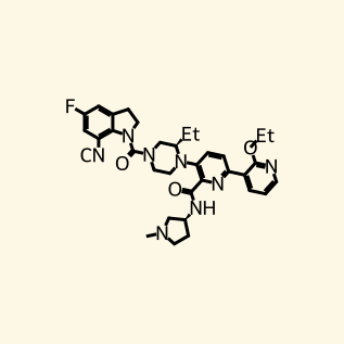 CCOc1ncccc1-c1ccc(N2CCN(C(=O)N3CCc4cc(F)cc(C#N)c43)C[C@H]2CC)c(C(=O)N[C@H]2CCN(C)C2)n1